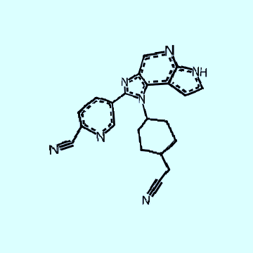 N#CCC1CCC(n2c(-c3ccc(C#N)nc3)nc3cnc4[nH]ccc4c32)CC1